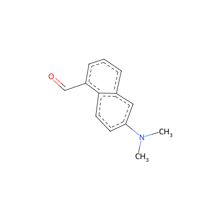 CN(C)c1ccc2c(C=O)cccc2c1